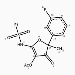 CCS(=O)(=O)NC1=C(OC(C)=O)C(=O)C(C)(c2cccc(F)c2)O1